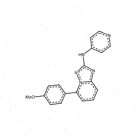 COc1ccc(-c2cccc3nc(Nc4ccncc4)nn23)cc1